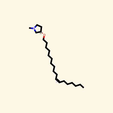 CCCCCC/C=C\CCCCCCCCCCO[C@H]1CCN(C)C1